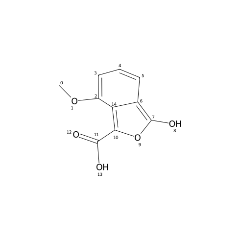 COc1cccc2c(O)oc(C(=O)O)c12